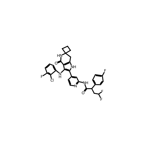 O=C1NC2(CCC2)Cc2[nH]c(-c3ccnc(NC(=O)C(CC(F)F)c4ccc(F)cc4)c3)c(Nc3cccc(F)c3Cl)c21